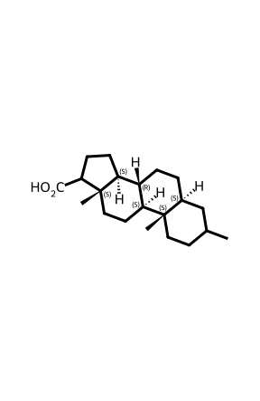 CC1CC[C@@]2(C)[C@@H](CC[C@@H]3[C@@H]2CC[C@]2(C)C(C(=O)O)CC[C@@H]32)C1